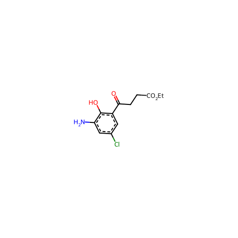 CCOC(=O)CCC(=O)c1cc(Cl)cc(N)c1O